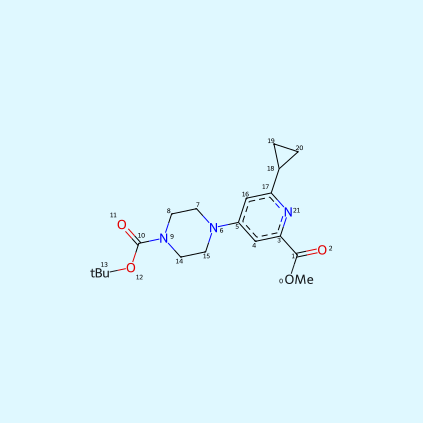 COC(=O)c1cc(N2CCN(C(=O)OC(C)(C)C)CC2)cc(C2CC2)n1